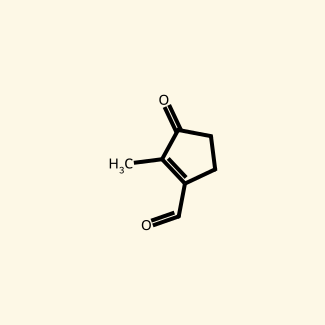 CC1=C(C=O)CCC1=O